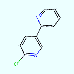 Clc1[c]cc(-c2cc[c]cn2)cn1